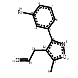 Cc1onc(-c2cccc(Br)c2)c1CC=O